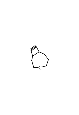 C1#CC2CCCCCCC12